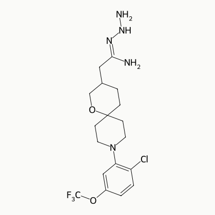 NN/N=C(\N)CC1CCC2(CCN(c3cc(OC(F)(F)F)ccc3Cl)CC2)OC1